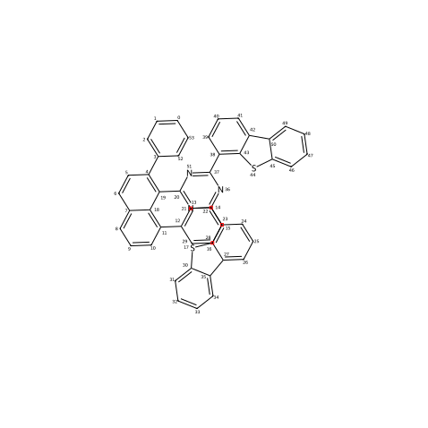 c1ccc(-c2ccc3cccc(-c4ccccc4)c3c2-c2nc(-c3cccc4c3sc3ccccc34)nc(-c3cccc4c3sc3ccccc34)n2)cc1